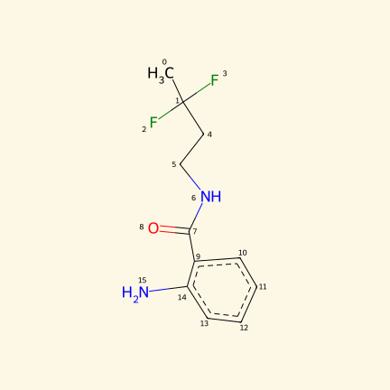 CC(F)(F)CCNC(=O)c1ccccc1N